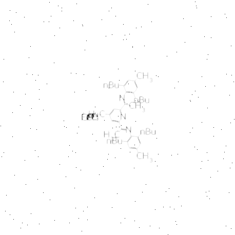 CCCCc1cc(C)cc(CCCC)c1N=C(C)c1cc(C)cc(C(C)=Nc2c(CCCC)cc(C)cc2CCCC)n1.[Cl-].[Cl-].[Cl-].[Fe+3]